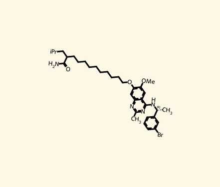 COc1cc2c(N[C@H](C)c3cccc(Br)c3)nc(C)nc2cc1OCCCCCCCCCCC(CC(C)C)C(N)=O